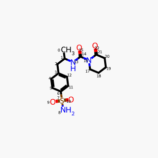 CC(Cc1ccc(S(N)(=O)=O)cc1)NC(=O)N1CCCCC1=O